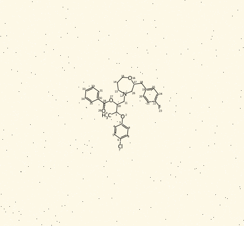 CC(Oc1ccc(Cl)cc1)C(CN1CCCOC(Cc2ccc(F)cc2)C1)OC(=O)c1ccccc1